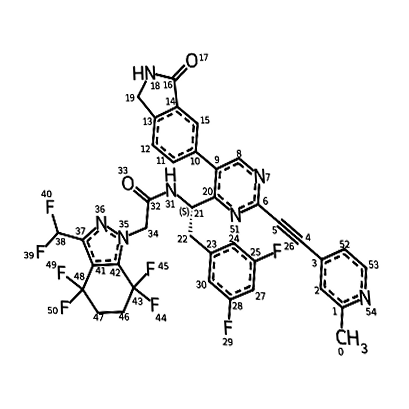 Cc1cc(C#Cc2ncc(-c3ccc4c(c3)C(=O)NC4)c([C@H](Cc3cc(F)cc(F)c3)NC(=O)Cn3nc(C(F)F)c4c3C(F)(F)CCC4(F)F)n2)ccn1